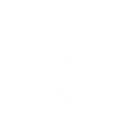 Cn1c(CCC(C(=O)O)C(O)CCc2ccc(-c3ccc(F)cc3)cc2)cc(=O)[nH]c1=O